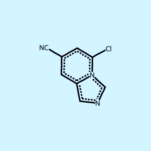 N#Cc1cc(Cl)n2cncc2c1